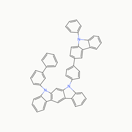 c1ccc(-c2cccc(-n3c4ccccc4c4cc5c6ccccc6n(-c6ccc(-c7ccc8c(c7)c7ccccc7n8-c7ccccc7)cc6)c5cc43)c2)cc1